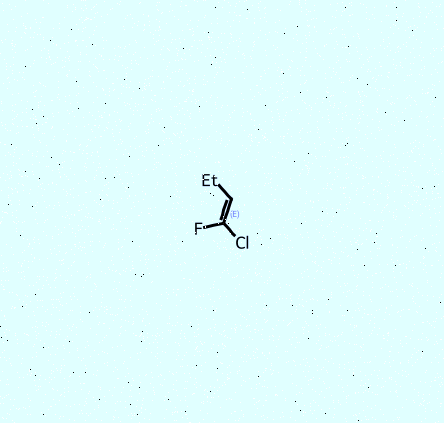 [CH2]C/C=C(\F)Cl